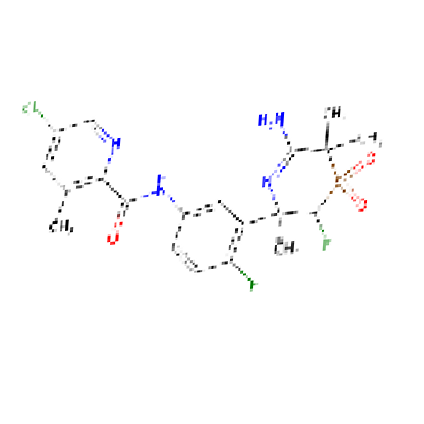 Cc1cc(Cl)cnc1C(=O)Nc1ccc(F)c([C@@]2(C)N=C(N)C(C)(C)S(=O)(=O)C2F)c1